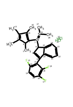 CC1=C(C)C(C)[C]([Zr]([CH]2C=C(c3c(F)ccc(F)c3F)c3ccccc32)=[Si](C)C)=C1C.Cl.Cl